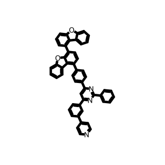 c1ccc(-c2nc(-c3ccc(-c4ccc(-c5cccc6oc7ccccc7c56)c5oc6ccccc6c45)cc3)cc(-c3cccc(-c4ccncc4)c3)n2)cc1